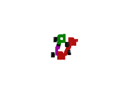 BrBr.ClI